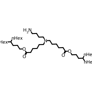 CCCCCCC(CCCCCC)CCCOC(=O)CCCCCN(CCCCN)CCCCCC(=O)OCCCC(CCCCCC)CCCCCC